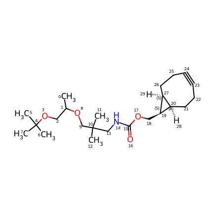 CC(COC(C)(C)C)OCC(C)(C)CNC(=O)OC[C@@H]1[C@@H]2CCC#CCC[C@@H]21